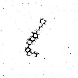 CC(=O)Oc1ccc(C(=O)Nc2cc3ccc(OCCCN4CCOCC4)c(C)c3oc2=O)cc1CC=C(C)C